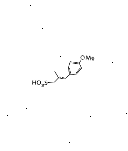 COc1ccc(/C=C(\C)CS(=O)(=O)O)cc1